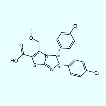 COCC1=C(C(=O)O)SC2=N[C@@H](c3ccc(Cl)cc3)[C@@H](c3ccc(Cl)cc3)N21